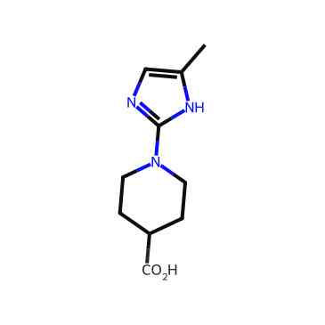 Cc1cnc(N2CCC(C(=O)O)CC2)[nH]1